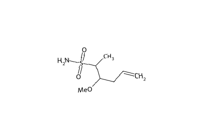 C=CCC(OC)C(C)S(N)(=O)=O